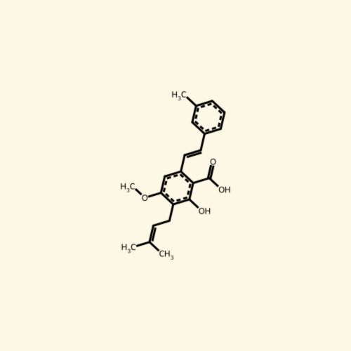 COc1cc(/C=C/c2cccc(C)c2)c(C(=O)O)c(O)c1CC=C(C)C